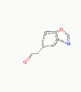 O=CCc1ccc2ocnc2c1